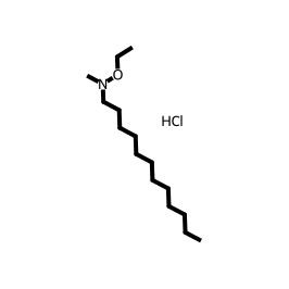 CCCCCCCCCCCCN(C)OCC.Cl